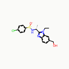 CCn1c([C@@H](C)N[S+]([O-])c2ccc(Cl)cc2)nc2ccc(CO)cc21